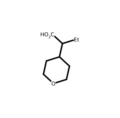 CCC(C(=O)O)C1CCOCC1